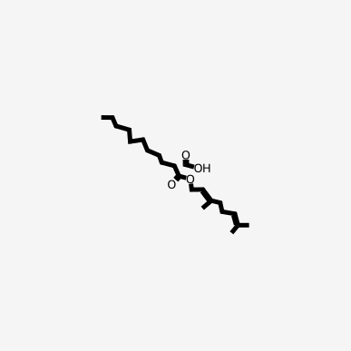 CCCCCCCCCCC(=O)OC/C=C(\C)CCC=C(C)C.O=CO